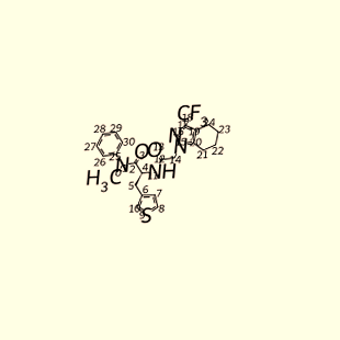 CN(C(=O)[C@H](Cc1ccsc1)NC(=O)Cn1nc(C(F)(F)F)c2c1CCCC2)c1ccccc1